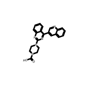 O=C(O)N1CCN(c2nc(-c3cnc4ccccc4c3)c3ccccc3n2)CC1